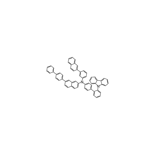 c1ccc(-c2ccc(-c3ccc4ccc(N(c5ccc(-c6ccccc6-n6c7ccccc7c7ccccc76)cc5)c5cccc(-c6ccc7ccccc7c6)c5)cc4c3)cc2)cc1